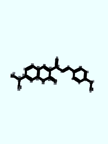 CCOc1ccc(/C=C/C(=O)c2cc3ccc(N(CC)CC)cc3oc2=O)cc1